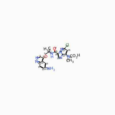 C[C@H](COc1cnnc2ccc(N)cc12)NC(=O)c1cnc2c(N(C)C(=O)O)cc(Cl)nn12